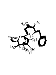 C=C(CC[C@]12O[C@H](CNC)[C@@](O)(C(=O)O)[C@](C(=O)O)(O1)[C@H](O)[C@H]2O)C(OC(C)=O)C(C)Cc1ccccc1